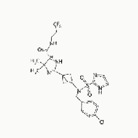 CC1(C)N=C(C23CC(N(Cc4ccc(Cl)cc4)S(=O)(=O)c4ncc[nH]4)(C2)C3)N[C@H]1C(=O)NCCC(F)(F)F